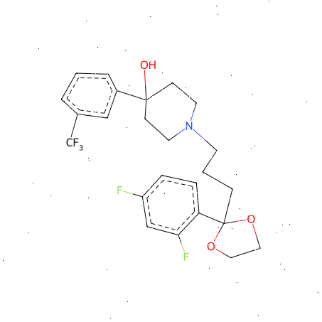 OC1(c2cccc(C(F)(F)F)c2)CCN(CCCC2(c3ccc(F)cc3F)OCCO2)CC1